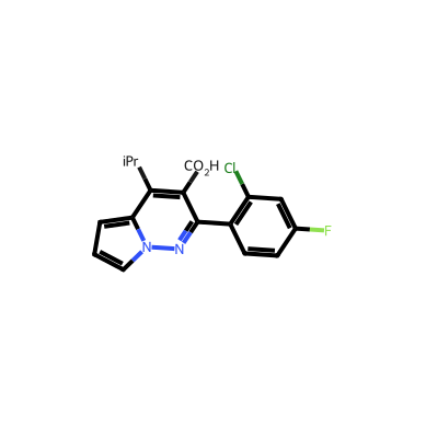 CC(C)c1c(C(=O)O)c(-c2ccc(F)cc2Cl)nn2cccc12